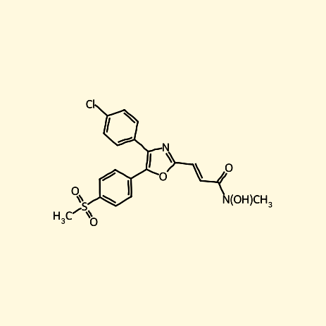 CN(O)C(=O)C=Cc1nc(-c2ccc(Cl)cc2)c(-c2ccc(S(C)(=O)=O)cc2)o1